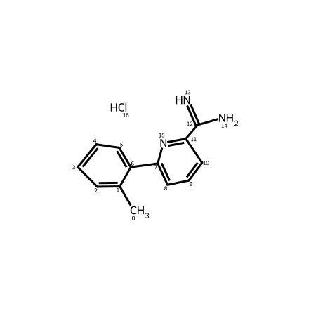 Cc1ccccc1-c1cccc(C(=N)N)n1.Cl